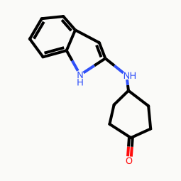 O=C1CCC(Nc2cc3ccccc3[nH]2)CC1